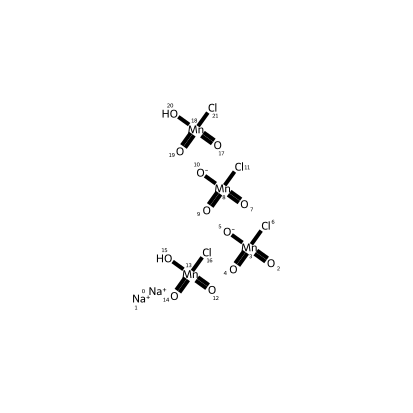 [Na+].[Na+].[O]=[Mn](=[O])([O-])[Cl].[O]=[Mn](=[O])([O-])[Cl].[O]=[Mn](=[O])([OH])[Cl].[O]=[Mn](=[O])([OH])[Cl]